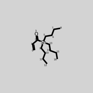 C=C[C](=O)[Sn]([CH2]CCC)([CH2]CCC)[CH2]CCC